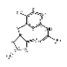 CC(C)(C)C(=O)Nc1cc(CC2C[C@@H](C(F)(F)F)NC2=O)c(Cl)nn1